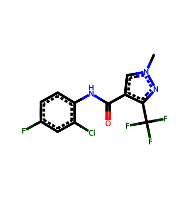 Cn1cc(C(=O)Nc2ccc(F)cc2Cl)c(C(F)(F)F)n1